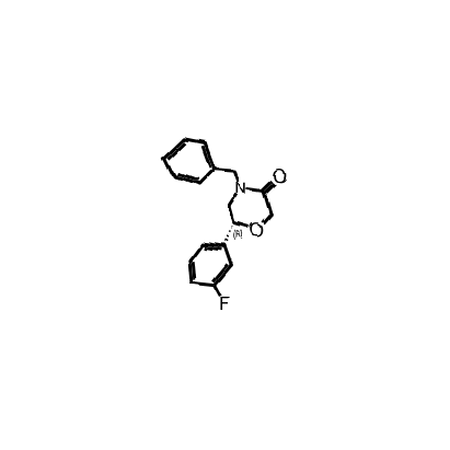 O=C1CO[C@H](c2cccc(F)c2)CN1Cc1ccccc1